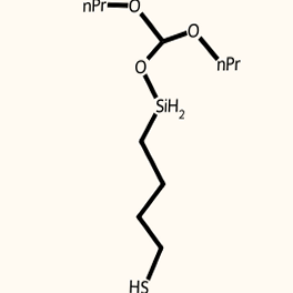 CCCOC(OCCC)O[SiH2]CCCCS